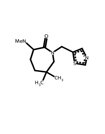 CNC1CCC(C)(C)CN(Cc2cncs2)C1=O